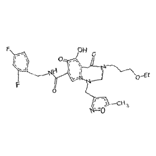 CCOCCCN1CN(Cc2cc(C)on2)n2cc(C(=O)NCc3ccc(F)cc3F)c(=O)c(O)c2C1=O